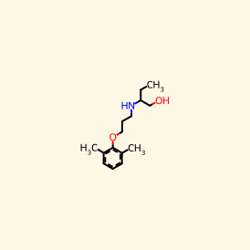 CCC(CO)NCCCOc1c(C)cccc1C